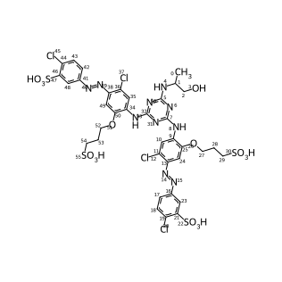 CC(CO)Nc1nc(Nc2cc(Cl)c(N=Nc3ccc(Cl)c(S(=O)(=O)O)c3)cc2OCCCS(=O)(=O)O)nc(Nc2cc(Cl)c(N=Nc3ccc(Cl)c(S(=O)(=O)O)c3)cc2OCCCS(=O)(=O)O)n1